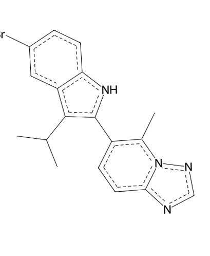 Cc1c(-c2[nH]c3ccc(Br)cc3c2C(C)C)ccc2ncnn12